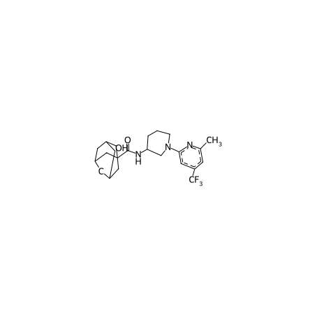 Cc1cc(C(F)(F)F)cc(N2CCCC(NC(=O)C34CC5CC(C3)C(O)C(C5)C4)C2)n1